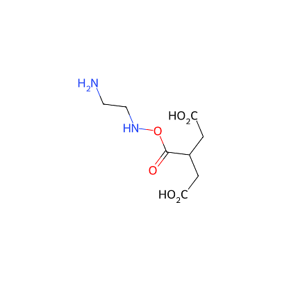 NCCNOC(=O)C(CC(=O)O)CC(=O)O